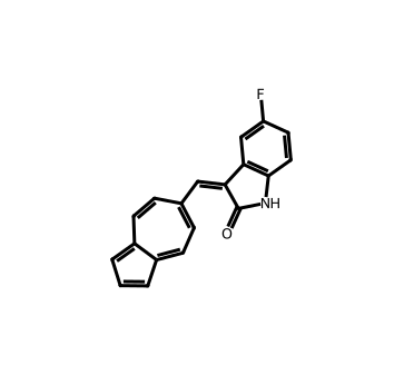 O=C1Nc2ccc(F)cc2C1=Cc1ccc2cccc-2cc1